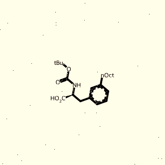 CCCCCCCCc1cccc(C[C@H](NC(=O)OC(C)(C)C)C(=O)O)c1